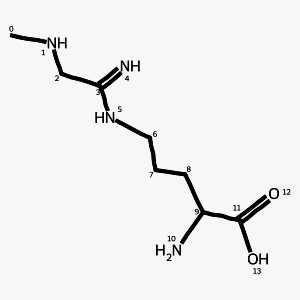 CNCC(=N)NCCCC(N)C(=O)O